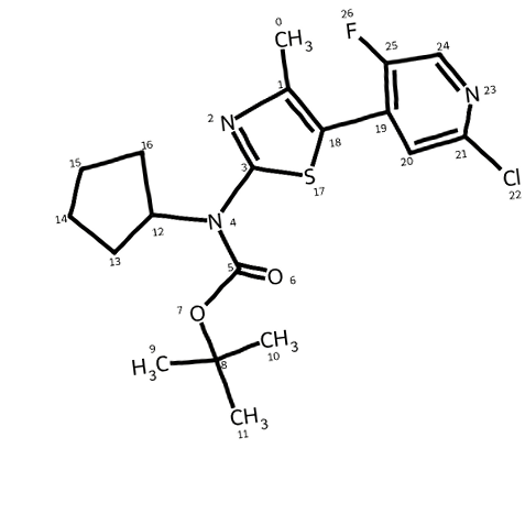 Cc1nc(N(C(=O)OC(C)(C)C)C2CCCC2)sc1-c1cc(Cl)ncc1F